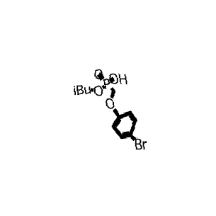 CCC(C)OP(=O)(O)COc1ccc(Br)cc1